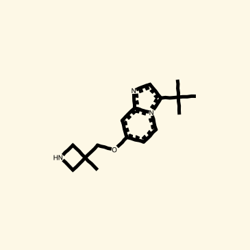 CC1(COc2ccn3c(C(C)(C)C)cnc3c2)CNC1